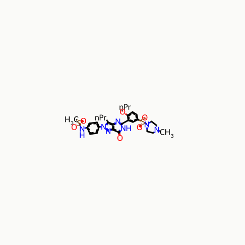 CCCOc1ccc(S(=O)(=O)N2CCN(C)CC2)cc1-c1nc2c(CCC)n(-c3ccc(NS(C)(=O)=O)cc3)nc2c(=O)[nH]1